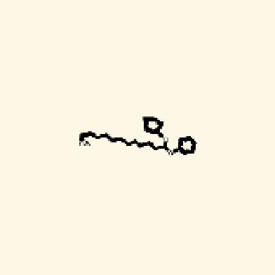 CCCC/C=C\CCCCCCCCCC(Oc1ccccc1)Oc1ccccc1